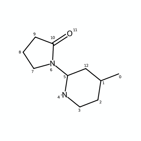 CC1CC[N]C(N2CCCC2=O)C1